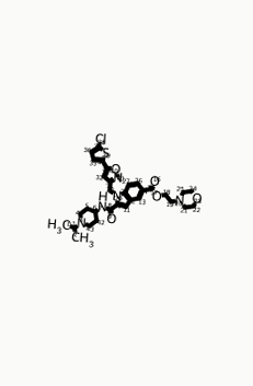 CC(C)N1CCC(NC(=O)c2cc3cc(C(=O)OCCN4CCOCC4)ccc3n2Cc2cc(-c3ccc(Cl)s3)on2)CC1